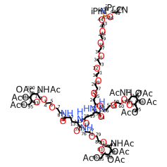 CC(=O)NC1C(OCCOCCNC(=O)CCC(NC(=O)CCC(NC(=O)CCOCCOCCOCCOCCOCCOCCOP(OCCC#N)N(C(C)C)C(C)C)C(=O)NCCOCCOC2OC(COC(C)=O)C(OC(C)=O)C(OC(C)=O)C2NC(C)=O)C(=O)NCCOCCOC2OC(COC(C)=O)C(OC(C)=O)C(OC(C)=O)C2NC(C)=O)OC(COC(C)=O)C(OC(C)=O)C1OC(C)=O